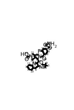 CC(C)(C)C(=O)Nc1cc2ccccc2nc1[CH]C1C2=C(CN(C(=O)O)C2)CN1C(=O)c1ccc(S(N)(=O)=O)cc1F